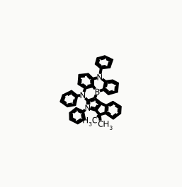 CC1(C)c2ccccc2-c2c3c(n(-c4ccccc4)c21)N(c1ccccc1)c1cccc2c1B3c1ccccc1N2c1ccccc1